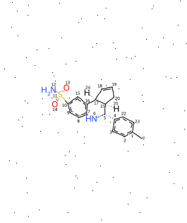 Cc1ccc([C@@H]2Nc3ccc(S(N)(=O)=O)cc3[C@H]3C=CC[C@H]32)cc1